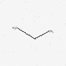 CCCCCCCCCCCCCC/[C]=C\CCCCCCCCCCCCCCCCCC